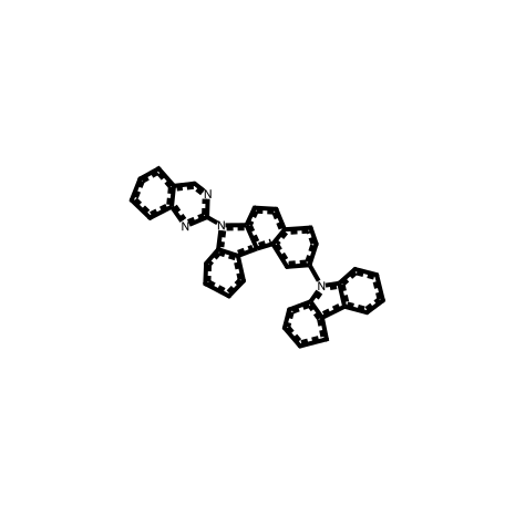 c1ccc2nc(-n3c4ccccc4c4c5cc(-n6c7ccccc7c7ccccc76)ccc5ccc43)ncc2c1